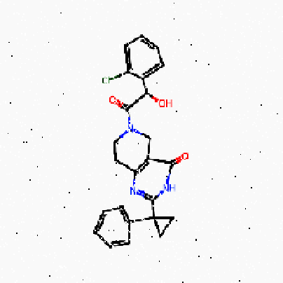 O=C([C@H](O)c1ccccc1Cl)N1CCc2nc(C3(c4ccccc4)CC3)[nH]c(=O)c2C1